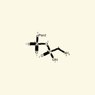 CCCCCS(=O)(=O)OP(=O)(O)CN